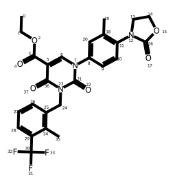 CCOC(=O)c1cn(-c2ccc(N3CCOC3=O)c(C)c2)c(=O)n(Cc2cccc(C(F)(F)F)c2C)c1=O